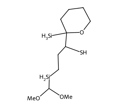 COC(OC)[SiH2]CCC(S)C1([SiH3])CCCCO1